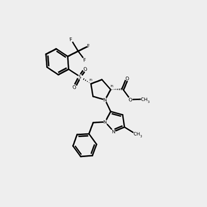 COC(=O)[C@H]1C[C@@H](S(=O)(=O)c2ccccc2C(F)(F)F)CN1c1cc(C)nn1Cc1ccccc1